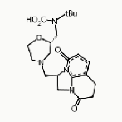 CC(C)(C)N(C[C@@H]1CN(C[C@@H]2CN3C(=O)CCc4ccc(=O)n2c43)CCO1)C(=O)O